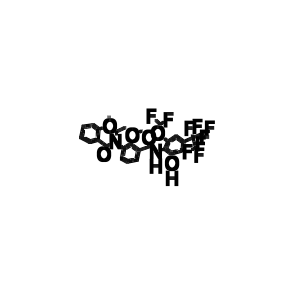 CCN(C(=O)c1ccccc1OC)c1cccc(C(=O)Nc2c(O)cc(C(F)(C(F)(F)F)C(F)(F)F)cc2OC(F)F)c1OC